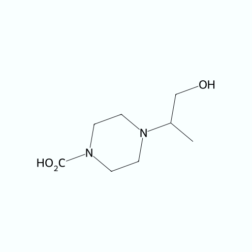 CC(CO)N1CCN(C(=O)O)CC1